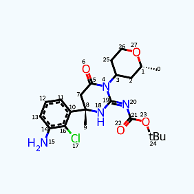 C[C@@H]1CC(N2C(=O)C[C@@](C)(c3cccc(N)c3Cl)N/C2=N\C(=O)OC(C)(C)C)CCO1